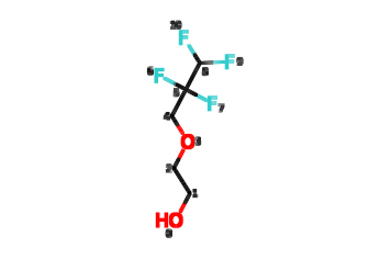 OCCOCC(F)(F)C(F)F